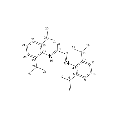 CC(C=Nc1c(C(C)C)cccc1C(C)C)=Nc1c(C(C)C)cccc1C(C)C